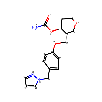 NC(=O)O[C@H]1CCOC[C@@H]1COc1ccc(Cn2cccn2)cc1